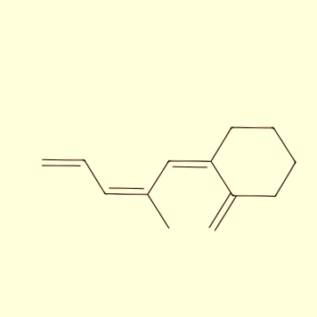 C=C/C=C(C)\C=C1\CCCCC1=C